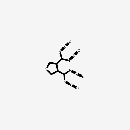 O=C=NC(N=C=O)C1CSCC1C(N=C=O)N=C=O